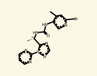 Cc1cc(Br)ncc1NC(=O)N[C@@H](C)c1ncnn1-c1ncccn1